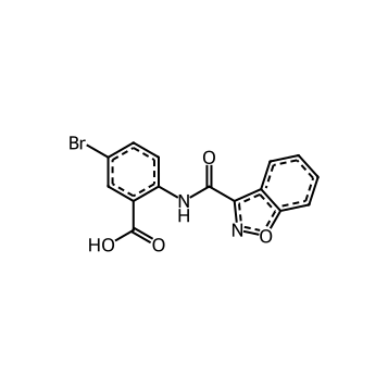 O=C(O)c1cc(Br)ccc1NC(=O)c1noc2ccccc12